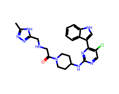 Cc1nnc(CNCC(=O)N2CCC(Nc3ncc(Cl)c(-c4c[nH]c5ccccc45)n3)CC2)[nH]1